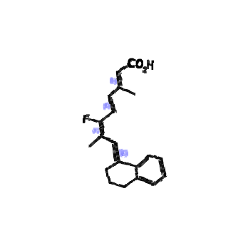 CC(/C=C/C(F)=C(C)\C=C1/CCCc2ccccc21)=C\C(=O)O